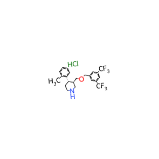 Cc1ccccc1[C@H]1CCNC[C@@H]1COCc1cc(C(F)(F)F)cc(C(F)(F)F)c1.Cl